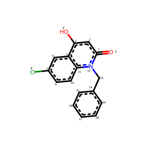 O=c1cc(O)c2cc(Cl)ccc2n1Cc1ccccc1